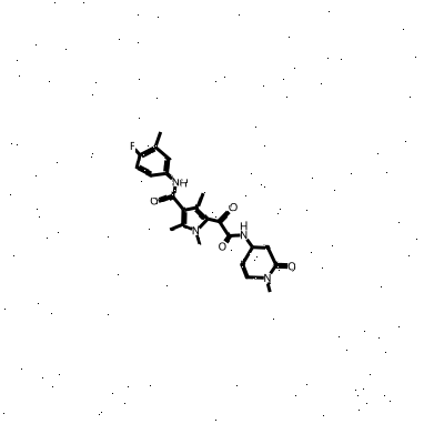 Cc1cc(NC(=O)c2c(C)c(C(=O)C(=O)NC3CCN(C)C(=O)C3)n(C)c2C)ccc1F